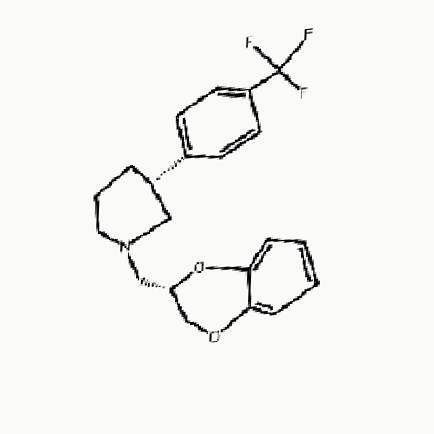 FC(F)(F)c1ccc([C@H]2CCCN(C[C@H]3COc4ccccc4O3)C2)cc1